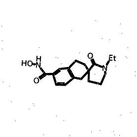 CCN1CCCC2(CCc3cc(C(=O)NO)ccc3C2)C1=O